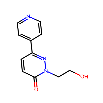 O=c1ccc(-c2ccncc2)nn1CCO